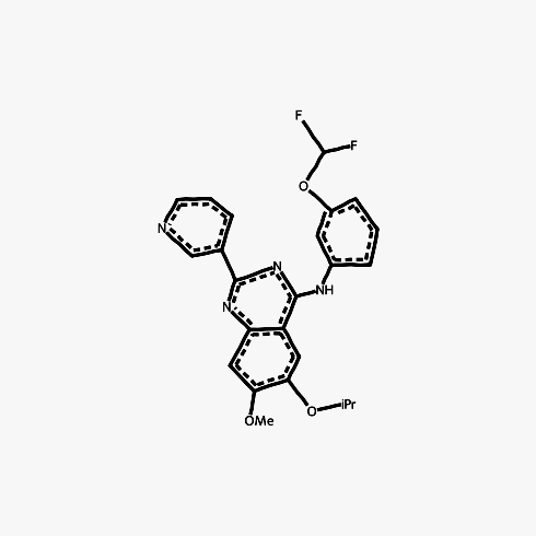 COc1cc2nc(-c3cccnc3)nc(Nc3cccc(OC(F)F)c3)c2cc1OC(C)C